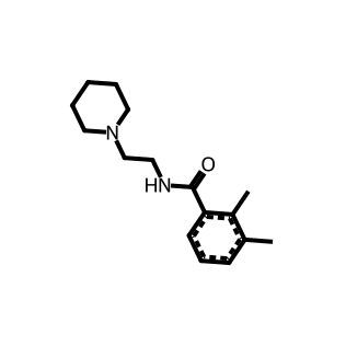 Cc1cccc(C(=O)NCCN2CCCCC2)c1C